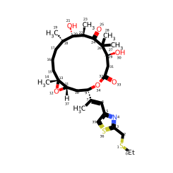 CCSCc1nc(C=C(C)[C@@H]2C[C@@H]3O[C@]3(C)CCC[C@H](C)[C@H](O)[C@@H](C)C(=O)C(C)(C)[C@@H](O)CC(=O)O2)cs1